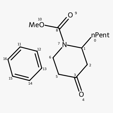 CCCCCC1CC(=O)CCN1C(=O)OC.c1ccccc1